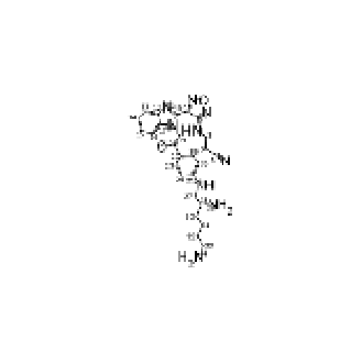 N#CCCNc1nonc1-c1nc2ccccc2n1CC(=O)c1ccc(NC[C@@H](N)CCCCN)cc1